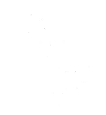 O=CCc1cn(Cc2cccc(C(F)(F)F)c2)c2ccc(-c3cc(C(F)(F)F)cc(C(F)(F)F)c3)cc12